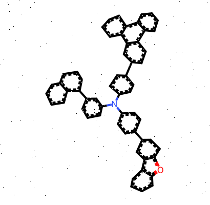 c1cc(-c2cccc3ccccc23)cc(N(c2ccc(-c3ccc4oc5ccccc5c4c3)cc2)c2ccc(-c3ccc4c5ccccc5c5ccccc5c4c3)cc2)c1